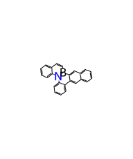 C1=Cc2ccccc2N2B1c1cc3ccccc3cc1-c1ccccc12